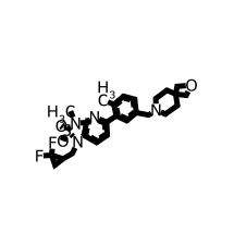 Cc1ccc(CN2CCC3(CC2)COC3)cc1-c1ccc2c(n1)N(C)S(=O)(=O)N2CC1CC1(F)F